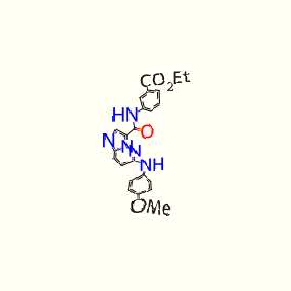 CCOC(=O)c1cccc(NC(=O)c2cnc3ccc(Nc4ccc(OC)cc4)nn23)c1